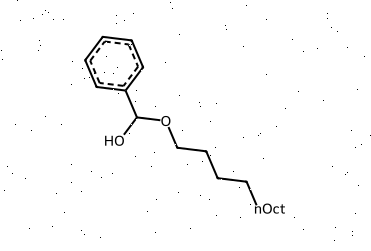 CCCCCCCCCCCCOC(O)c1ccccc1